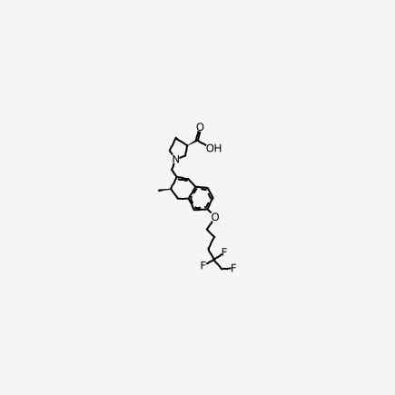 C[C@@H]1Cc2cc(OCCCC(F)(F)CF)ccc2C=C1CN1CC[C@@H](C(=O)O)C1